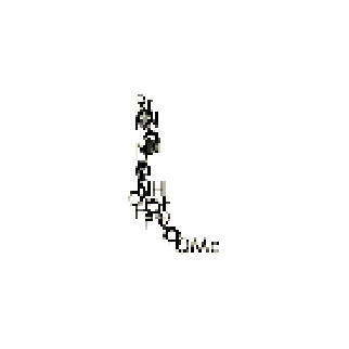 COc1ccc(COc2c(F)cc(C(=O)NCC34CCC(c5cn6ccc(-c7ncc(Br)cn7)cc6n5)(CC3)CC4)c(F)c2F)cc1